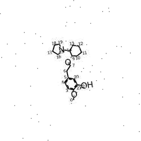 COc1ccc(CCO[C@H]2CCCC[C@@H]2N2CCCC2)cc1O